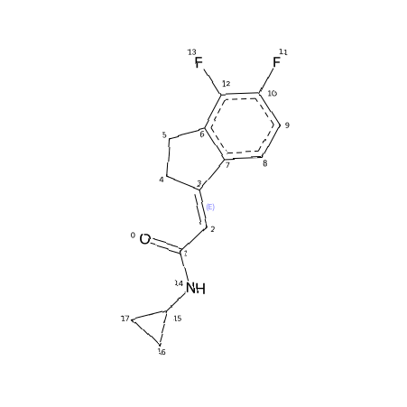 O=C(/C=C1\CCc2c1ccc(F)c2F)NC1CC1